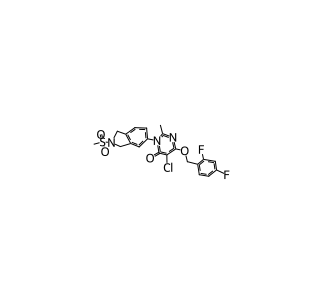 Cc1nc(OCc2ccc(F)cc2F)c(Cl)c(=O)n1-c1ccc2c(c1)CN(S(C)(=O)=O)C2